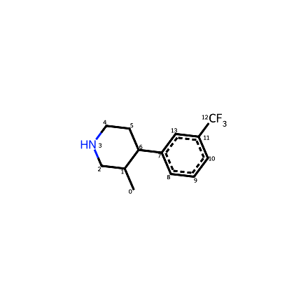 CC1CNCCC1c1cccc(C(F)(F)F)c1